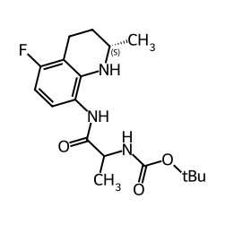 CC(NC(=O)OC(C)(C)C)C(=O)Nc1ccc(F)c2c1N[C@@H](C)CC2